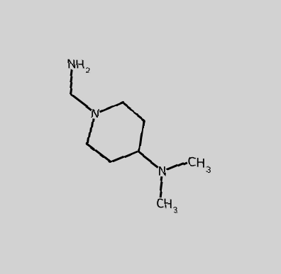 CN(C)C1CCN(CN)CC1